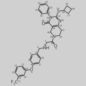 O=C(CNCc1ccc(Oc2cccc(C(F)(F)F)c2)cc1)N1CCc2nc(SC3CCC3)n(-c3ccccc3)c(=O)c2C1